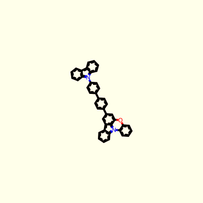 c1ccc2c(c1)Oc1cc(-c3ccc(-c4ccc(-n5c6ccccc6c6ccccc65)cc4)cc3)cc3c4ccccc4n-2c13